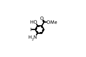 COC(=O)c1ccc(N)c(I)c1O